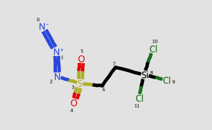 [N-]=[N+]=NS(=O)(=O)CC[Si](Cl)(Cl)Cl